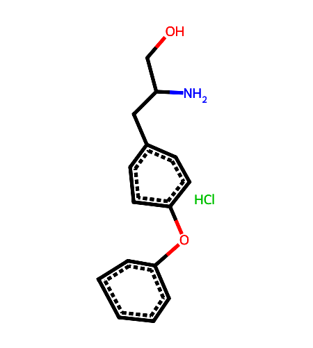 Cl.NC(CO)Cc1ccc(Oc2ccccc2)cc1